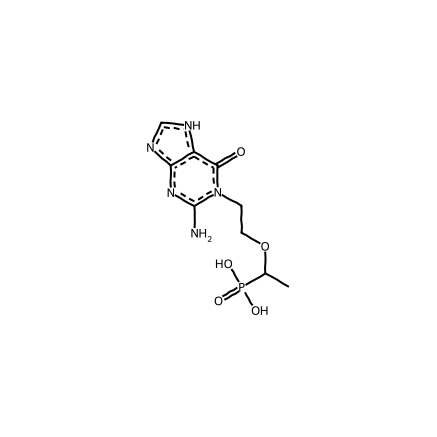 CC(OCCn1c(N)nc2nc[nH]c2c1=O)P(=O)(O)O